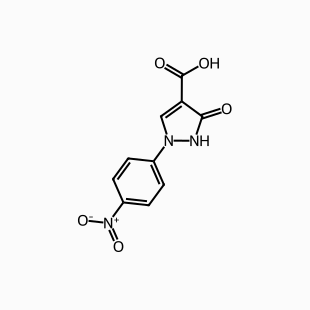 O=C(O)c1cn(-c2ccc([N+](=O)[O-])cc2)[nH]c1=O